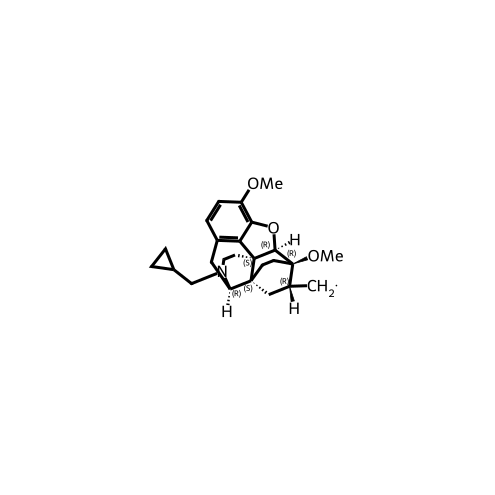 [CH2][C@@H]1C[C@@]23CC[C@]1(OC)[C@@H]1Oc4c(OC)ccc5c4[C@@]12CCN(CC1CC1)[C@@H]3C5